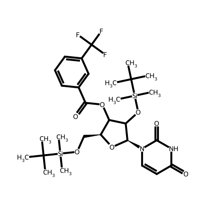 CC(C)(C)[Si](C)(C)OC[C@@H]1O[C@H](n2ccc(=O)[nH]c2=O)C(O[Si](C)(C)C(C)(C)C)C1OC(=O)c1cccc(C(F)(F)F)c1